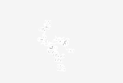 CCCCOC(C)CNC(=O)NCCOC(=O)C(C)(CC(CC(C)(CC)C(=O)OCCNC(=O)CC#N)c1ccccc1)CC(C)(CC(C)(C)C(=O)OCCO)C(=O)OCC